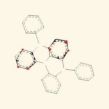 c1ccc(P(c2ccccc2[As](c2ccccc2)c2ccccc2)c2ccccc2[As](c2ccccc2)c2ccccc2)cc1